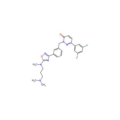 CN(C)CCCN(C)c1nc(-c2cccc(Cn3nc(-c4cc(F)cc(F)c4)ccc3=O)c2)no1